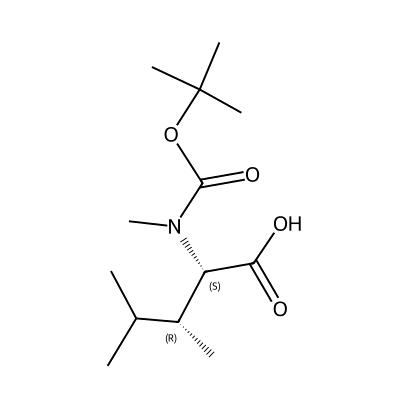 CC(C)[C@@H](C)[C@@H](C(=O)O)N(C)C(=O)OC(C)(C)C